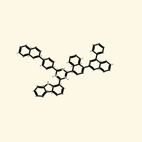 c1ccc(-c2cc(-c3ccc(-c4nc(-c5ccc(-c6ccc7ccccc7c6)cc5)nc(-c5cccc6c5sc5ccccc56)n4)c4ccccc34)cc3ccccc23)cc1